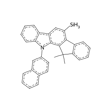 CC1(C)c2ccccc2-c2c([SiH3])cc3c4ccccc4n(-c4ccc5ccccc5c4)c3c21